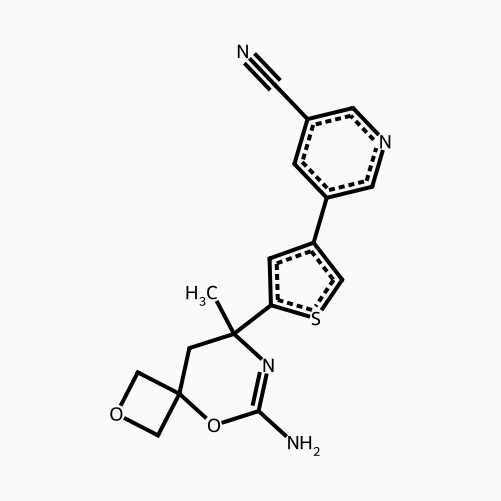 CC1(c2cc(-c3cncc(C#N)c3)cs2)CC2(COC2)OC(N)=N1